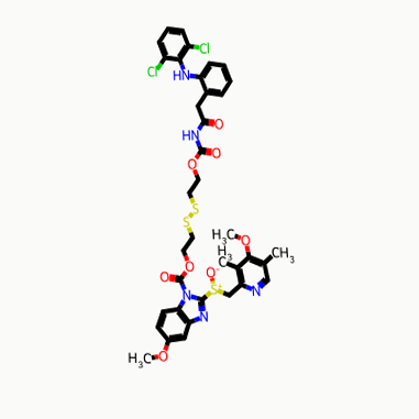 COc1ccc2c(c1)nc([S+]([O-])Cc1ncc(C)c(OC)c1C)n2C(=O)OCCSSCCOC(=O)NC(=O)Cc1ccccc1Nc1c(Cl)cccc1Cl